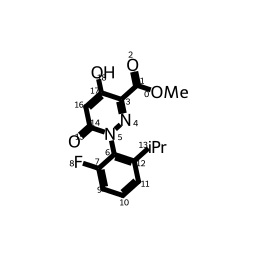 COC(=O)c1nn(-c2c(F)cccc2C(C)C)c(=O)cc1O